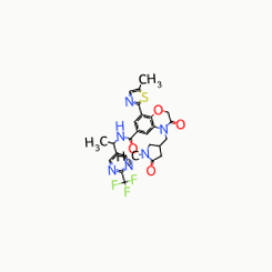 Cc1cnc(-c2cc(C(=O)NC(C)c3cnc(C(F)(F)F)nc3)cc3c2OCC(=O)N3CC2CC(=O)N(C)C2)s1